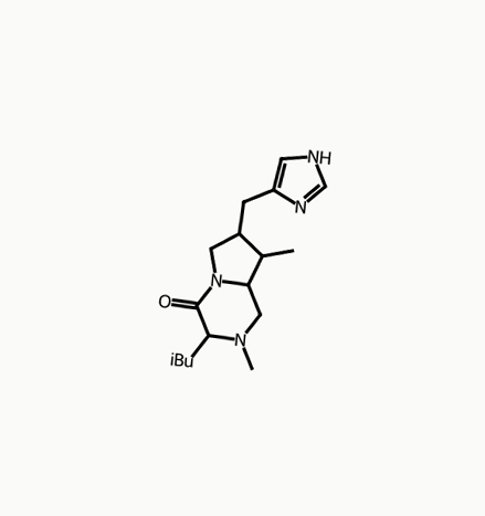 CCC(C)C1C(=O)N2CC(Cc3c[nH]cn3)C(C)C2CN1C